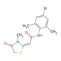 Cc1cc(Br)cc(C)c1NC(=O)C=C1SCC(=O)N1C